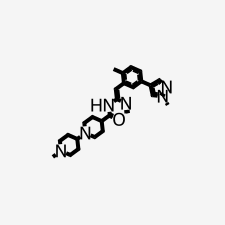 C=N/C(=C\c1cc(-c2cnn(C)c2)ccc1C)NC(=O)C1CCN(C2CCN(C)CC2)CC1